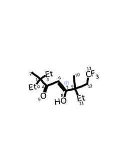 CCC(C)(CC)C(=O)/C=C(\O)C(C)(CC)CC(F)(F)F